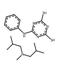 CC(C)CN(C)CC(C)C.Sc1nc(S)nc(Nc2ccccc2)n1